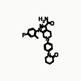 Cc1cc(F)ccc1-n1nc(C(N)=O)c2c1CN(c1ccc(N3CCCCC3=O)cc1)CC2